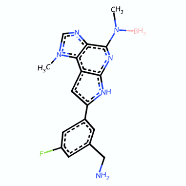 BN(C)c1nc2[nH]c(-c3cc(F)cc(CN)c3)cc2c2c1ncn2C